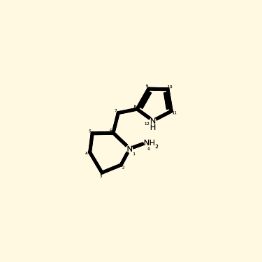 NN1CCCCC1Cc1ccc[nH]1